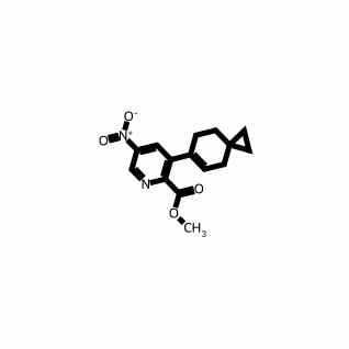 COC(=O)c1ncc([N+](=O)[O-])cc1C1=CCC2(CC1)CC2